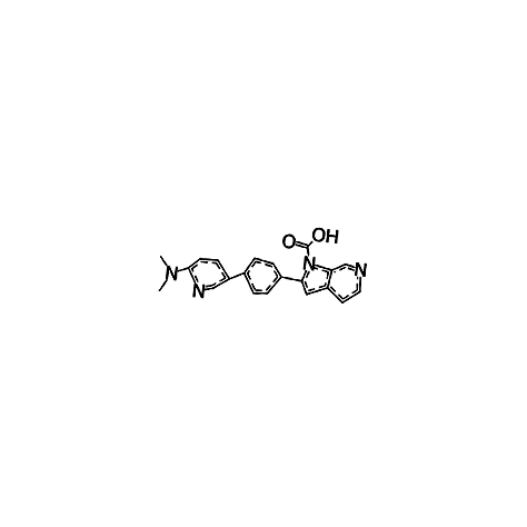 CN(C)c1ccc(-c2ccc(-c3cc4ccncc4n3C(=O)O)cc2)cn1